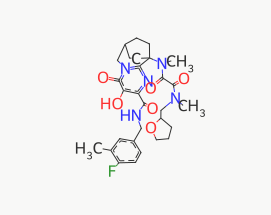 Cc1cc(CNC(=O)c2nc3n(c(=O)c2O)CC2CCC3(N(C)C(=O)C(=O)N(C)CC3CCCO3)CC2)ccc1F